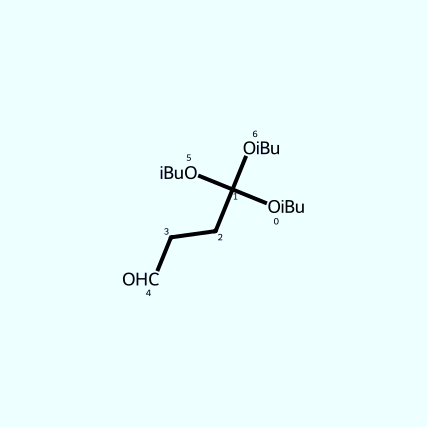 CC(C)COC(CCC=O)(OCC(C)C)OCC(C)C